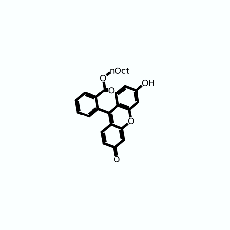 CCCCCCCCOC(=O)c1ccccc1-c1c2ccc(=O)cc-2oc2cc(O)ccc12